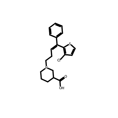 O=C(O)C1CCCN(CCC=C(c2ccccc2)c2sccc2Cl)C1